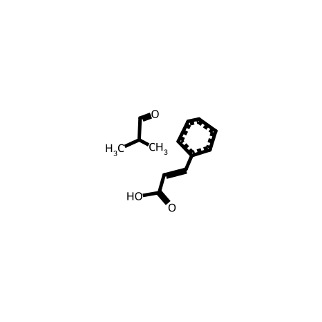 CC(C)C=O.O=C(O)C=Cc1ccccc1